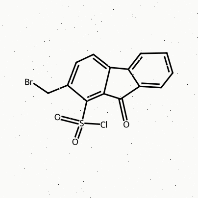 O=C1c2ccccc2-c2ccc(CBr)c(S(=O)(=O)Cl)c21